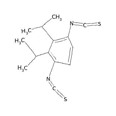 CC(C)c1c(N=C=S)ccc(N=C=S)c1C(C)C